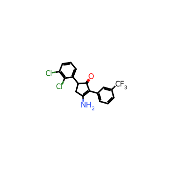 NC1=C(c2cccc(C(F)(F)F)c2)C(=O)C(c2cccc(Cl)c2Cl)C1